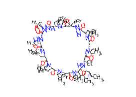 C/C=C/CC(C)C(CC)C1C(=O)NC(CC)C(=O)N(C)CC(=O)N(C)C(CC(C)C)C(=O)NC(C(C)C)C(=O)N(C)C(CC(C)C)C(=O)NN(C)C(=O)NC(C)C(=O)N(C)C(CC(C)C)C(=O)N(C)C(CC(C)C)C(=O)N(C)C(C(C)C)C(=O)N1C